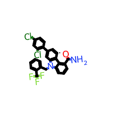 NC(=O)c1cccc2c1c1[c]cc(-c3ccc(Cl)cc3Cl)cc1n2Cc1ccccc1C(F)(F)F